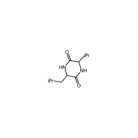 CC(C)CC1NC(=O)C(C(C)C)NC1=O